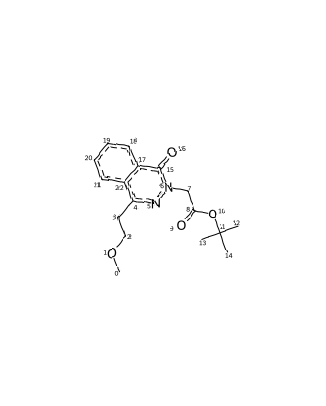 COCCc1nn(CC(=O)OC(C)(C)C)c(=O)c2ccccc12